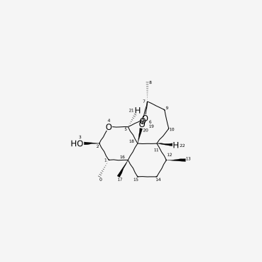 C[C@@H]1[C@@H](O)O[C@H]2O[C@]3(C)CC[C@@H]4[C@@H](C)CC[C@@]1(C)[C@]24OO3